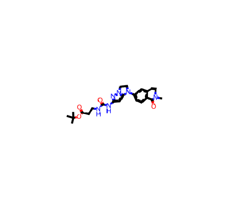 CN1CCc2cc(N3CCn4nc(NC(=O)NCCC(=O)OC(C)(C)C)cc43)ccc2C1=O